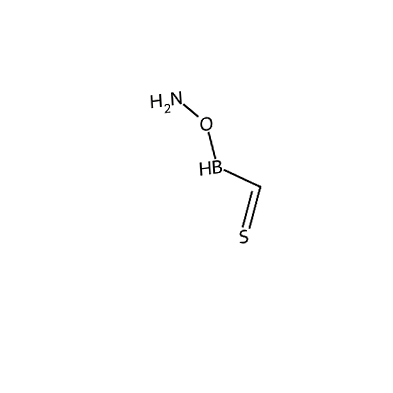 NOBC=S